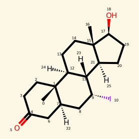 C[C@]12CCC(=O)C[C@@H]1C[C@@H](I)[C@@H]1[C@@H]2CC[C@]2(C)[C@@H](O)CC[C@@H]12